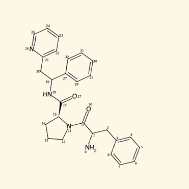 NC(Cc1ccccc1)C(=O)N1CCC[C@H]1C(=O)NC(Cc1ccccn1)c1ccccc1